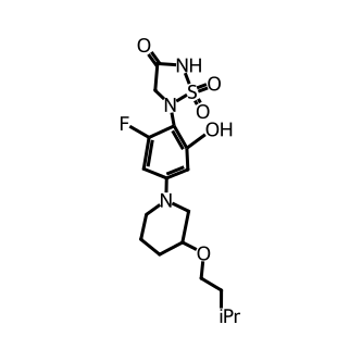 CC(C)CCOC1CCCN(c2cc(O)c(N3CC(=O)NS3(=O)=O)c(F)c2)C1